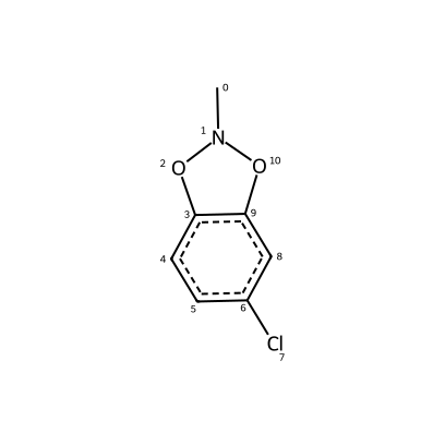 CN1Oc2ccc(Cl)cc2O1